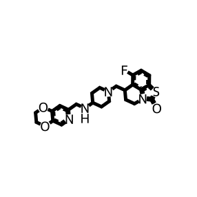 O=c1sc2ccc(F)c3c2n1CCC3CN1CCC(NCc2cc3c(cn2)OCCO3)CC1